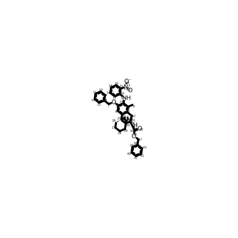 Cc1c2c(cc(OCc3ccccc3)c1Nc1ccccc1[N+](=O)[O-])[C@]13CCCC[C@@H]1[C@H](C2)N(C(=O)OCc1ccccc1)CC3